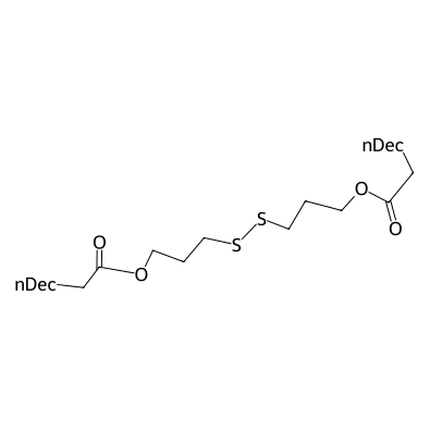 CCCCCCCCCCCC(=O)OCCCSSCCCOC(=O)CCCCCCCCCCC